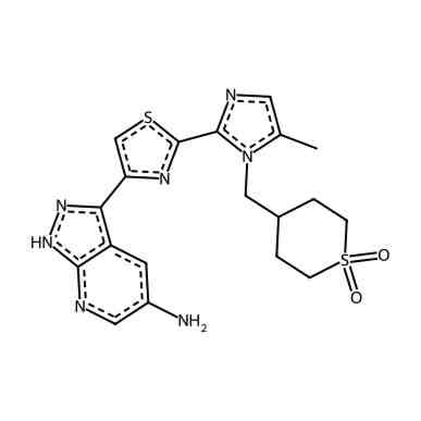 Cc1cnc(-c2nc(-c3n[nH]c4ncc(N)cc34)cs2)n1CC1CCS(=O)(=O)CC1